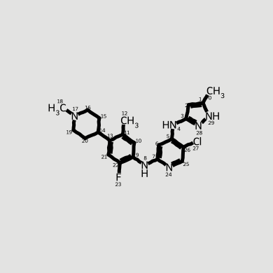 Cc1cc(Nc2cc(Nc3cc(C)c(C4CCN(C)CC4)cc3F)ncc2Cl)n[nH]1